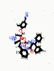 Cc1cc(C#N)ccc1OC[C@@H]1CNC[C@@H](CCc2ccccc2NC(=O)C(NC(=O)O)C(c2ccccc2)c2ccccc2)O1